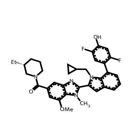 CC[C@@H]1CCCN(C(=O)c2cc(OC)c3c(c2)nc(-c2cc4cccc(-c5cc(F)c(O)cc5F)c4n2CC2CC2)n3C)C1